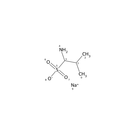 CC(C)C(N)S(=O)(=O)[O-].[Na+]